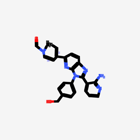 C/C=C(\C=C/N(C)C=O)c1ccc2nc(-c3cccnc3N)n(-c3ccc(CO)cc3)c2n1